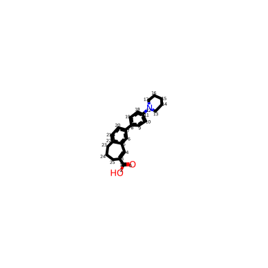 O=C(O)C1=Cc2cc(-c3ccc(N4CCCCC4)cc3)ccc2CCC1